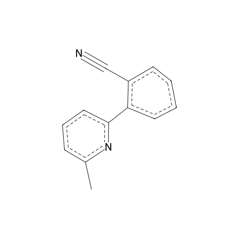 Cc1cccc(-c2ccccc2C#N)n1